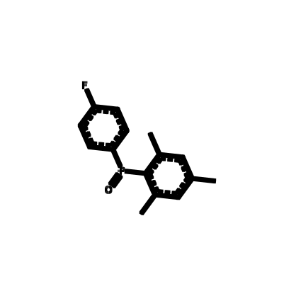 Cc1cc(C)c([P](=O)c2ccc(F)cc2)c(C)c1